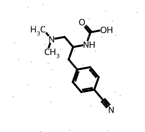 CN(C)CC(Cc1ccc(C#N)cc1)NC(=O)O